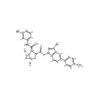 CC(=O)c1nn(CC(=O)N2C[C@H]3C[C@H]3[C@H]2C(=O)Nc2cccc(Br)n2)c2ccc(-c3cnc(C)nc3)cc12